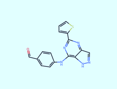 O=Cc1ccc(Nc2nc(-c3cccs3)nc3cn[nH]c23)cc1